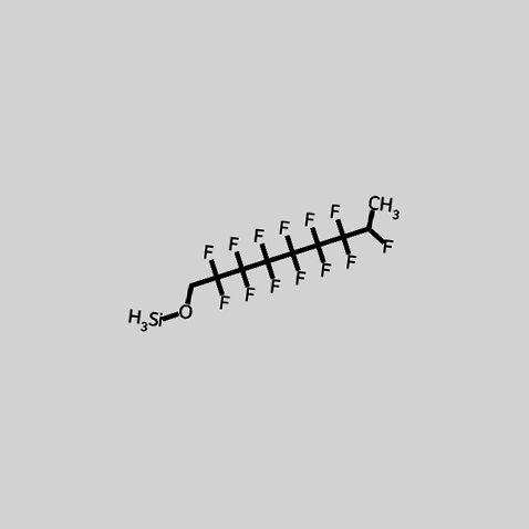 CC(F)C(F)(F)C(F)(F)C(F)(F)C(F)(F)C(F)(F)C(F)(F)CO[SiH3]